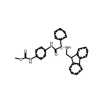 COC(=O)Nc1ccc(NC(=O)[C@@H](NCC2c3ccccc3-c3ccccc32)c2ccccc2)cc1